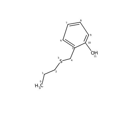 CCCSCc1ccccc1O